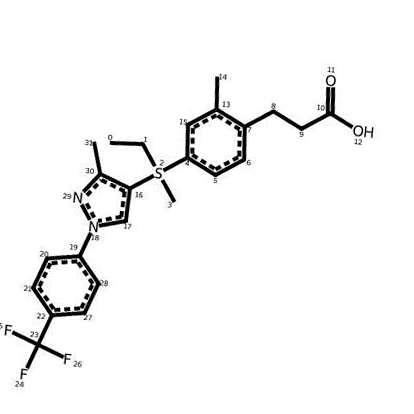 CCS(C)(c1ccc(CCC(=O)O)c(C)c1)c1cn(-c2ccc(C(F)(F)F)cc2)nc1C